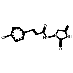 O=C(C=Cc1ccc(Cl)cc1)NN1CC(=O)NC1=O